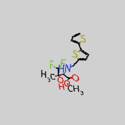 COC(=O)C(NCc1ccc(-c2cccs2)s1)C(C)(O)C(F)F